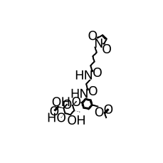 CC(=O)OCc1ccc(O[C@@H]2O[C@H](C(=O)O)[C@@H](O)[C@H](O)[C@H]2C)c(NC(=O)CCNC(=O)CCCCCN2C(=O)C=CC2=O)c1